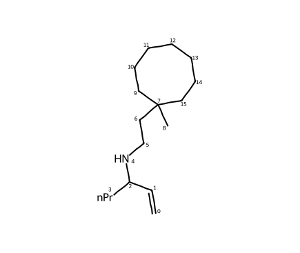 C=CC(CCC)NCCC1(C)CCCCCCC1